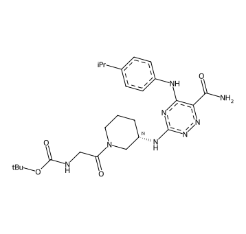 CC(C)c1ccc(Nc2nc(N[C@H]3CCCN(C(=O)CNC(=O)OC(C)(C)C)C3)nnc2C(N)=O)cc1